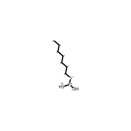 CCCCCCCSP(S)S